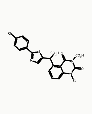 CCn1c(=O)n(C(=O)O)c(=O)c2c(C(C(=O)O)c3cnc(-c4ccc(Cl)cc4)s3)cccc21